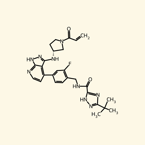 C=CC(=O)N1CC[C@@H](Nc2n[nH]c3nccc(-c4ccc(CNC(=O)c5nc(C(C)(C)C)n[nH]5)c(F)c4)c23)C1